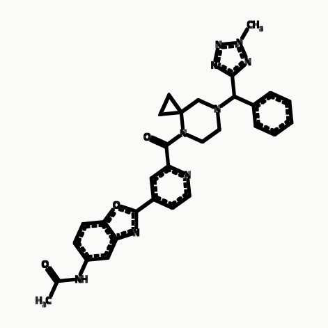 CC(=O)Nc1ccc2oc(-c3ccnc(C(=O)N4CCN(C(c5ccccc5)c5nnn(C)n5)CC45CC5)c3)nc2c1